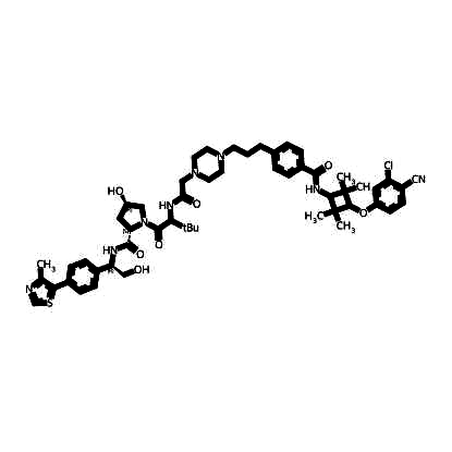 Cc1ncsc1-c1ccc([C@H](CO)NC(=O)[C@@H]2C[C@@H](O)CN2C(=O)C(NC(=O)CN2CCN(CCCc3ccc(C(=O)NC4C(C)(C)C(Oc5ccc(C#N)c(Cl)c5)C4(C)C)cc3)CC2)C(C)(C)C)cc1